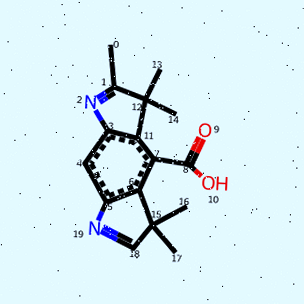 CC1=Nc2cc3c(c(C(=O)O)c2C1(C)C)C(C)(C)C=N3